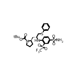 CC(C)(C)OC(=O)N1CCC[C@@H]1C[C@H](CSc1ccccc1)Nc1ccc(S(N)(=O)=O)cc1S(=O)(=O)C(F)(F)F